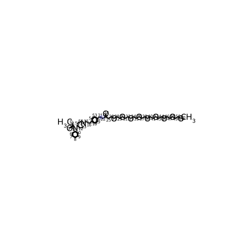 CCC(=O)N(c1ccccc1)C1CCN(CCc2ccc(/C=C/C(=O)CCOCCOCCOCCOCCOCCOCCOCCOCCOC)cc2)CC1